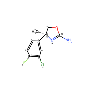 C[C@]1(c2ccc(F)c(Cl)c2)COC(N)=N1